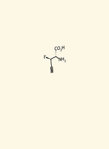 C#C[C@@H](F)[C@@H](N)C(=O)O